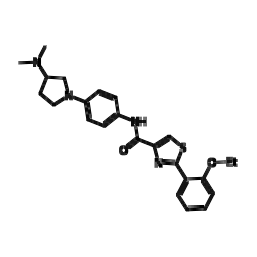 CCOc1ccccc1-c1nc(C(=O)Nc2ccc(N3CCC(N(C)C)C3)cc2)cs1